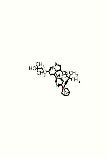 COC(C)(C)C#CCN1C2CC1CN(c1ccc(-c3cc(OCC(C)(C)O)cn4ncc(C#N)c34)cn1)C2